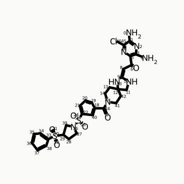 Nc1nc(N)c(C(=O)/C=C2\NCC3(CCN(C(=O)c4cccc(S(=O)(=O)N5CCC(S(=O)(=O)c6ccccc6)C5)c4)CC3)N2)nc1Cl